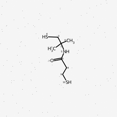 CC(C)(CS)NC(=O)CCS